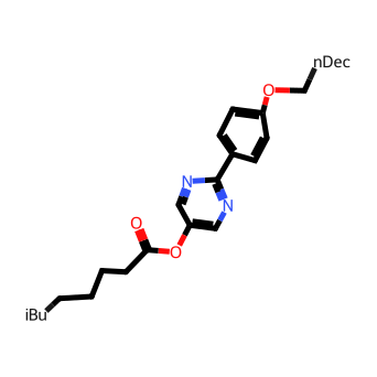 CCCCCCCCCCCOc1ccc(-c2ncc(OC(=O)CCCCC(C)CC)cn2)cc1